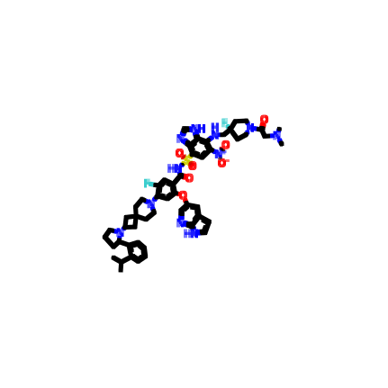 CC(C)c1ccccc1C1CCCN1C1CC2(CCN(c3cc(Oc4cnc5[nH]ccc5c4)c(C(=O)NS(=O)(=O)c4cc([N+](=O)[O-])c(NCC5(F)CCN(C(=O)CN(C)C)CC5)c5[nH]cnc45)cc3F)CC2)C1